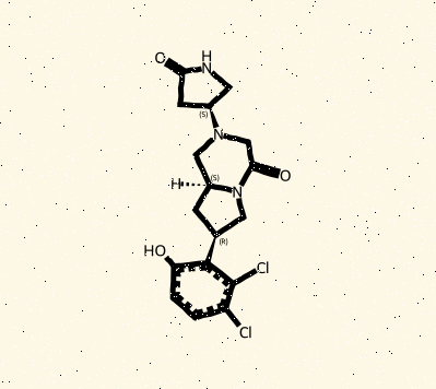 O=C1C[C@H](N2CC(=O)N3C[C@@H](c4c(O)ccc(Cl)c4Cl)C[C@H]3C2)CN1